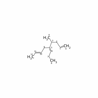 C=CCC(C)C(=CCC)CC=CC